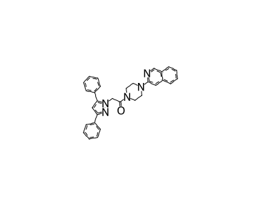 O=C(Cn1nc(-c2ccccc2)cc1-c1ccccc1)N1CCN(c2cc3ccccc3cn2)CC1